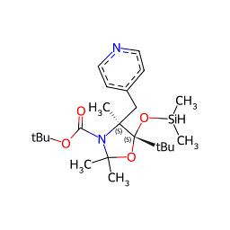 C[SiH](C)O[C@]1(C(C)(C)C)OC(C)(C)N(C(=O)OC(C)(C)C)[C@@]1(C)Cc1ccncc1